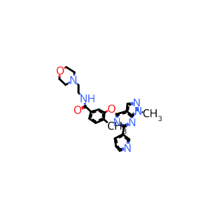 Cc1ccc(C(=O)NCCN2CCOCC2)cc1Oc1nc(-c2cccnc2)nc2c1cnn2C